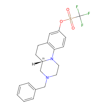 O=S(=O)(Oc1ccc2c(c1)CC[C@H]1CN(Cc3ccccc3)CCN21)C(F)(F)F